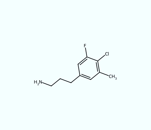 Cc1cc(CCCN)cc(F)c1Cl